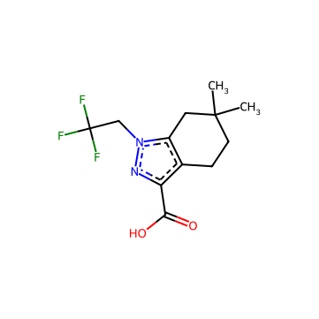 CC1(C)CCc2c(C(=O)O)nn(CC(F)(F)F)c2C1